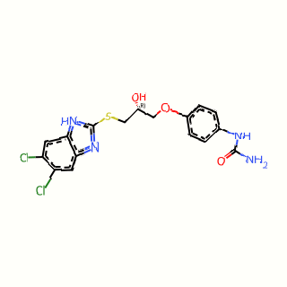 NC(=O)Nc1ccc(OC[C@@H](O)CSc2nc3cc(Cl)c(Cl)cc3[nH]2)cc1